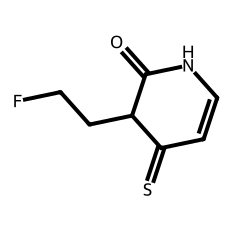 O=C1NC=CC(=S)C1CCF